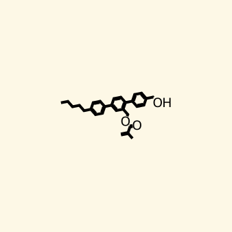 C=C(C)C(=O)OCc1cc(-c2ccc(CCCCC)cc2)ccc1-c1ccc(CO)cc1